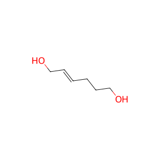 OCC=CCCCO